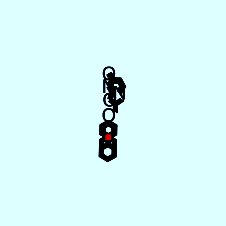 O=c1ccn2c(n1)OC(COc1ccc(C3C4CCCC3CCC4)cc1)C2